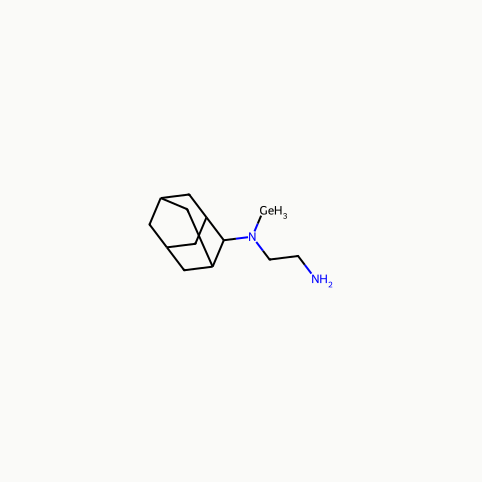 NCC[N]([GeH3])C1C2CC3CC(C2)CC1C3